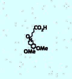 COc1cc2c(cc1OC)CN(C(=O)CCCCC(=O)O)CC2